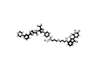 CN(CCCOCCCNc1cccc2c1C(=O)C(C1CCC(=O)NC1=O)C2=O)C[C@H]1CC[C@H](n2cc(NC(=O)c3coc(-c4ccnc(N5CCOCC5)c4)n3)c(C(F)F)n2)CC1